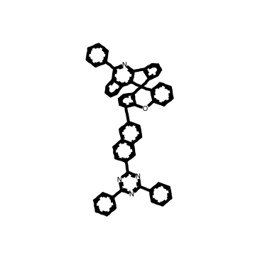 c1ccc(-c2nc(-c3ccccc3)nc(-c3ccc4cc(-c5cccc6c5Oc5ccccc5C65c6ccccc6-c6nc(-c7ccccc7)c7ccccc7c65)ccc4c3)n2)cc1